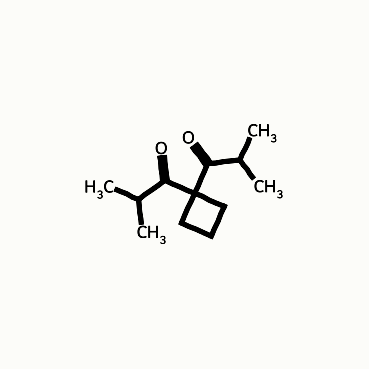 CC(C)C(=O)C1(C(=O)C(C)C)CCC1